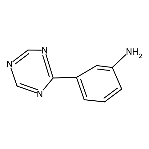 Nc1cccc(-c2ncncn2)c1